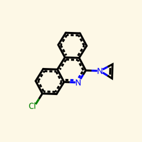 Clc1ccc2c(c1)nc(N1C=C1)c1ccccc12